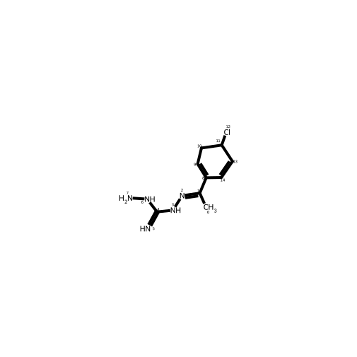 C/C(=N\NC(=N)NN)C1=CCC(Cl)C=C1